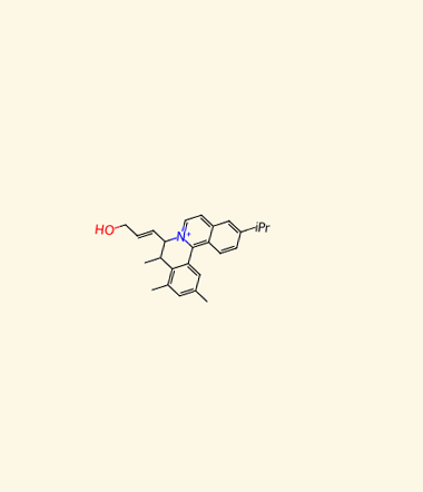 Cc1cc(C)c2c(c1)-c1c3ccc(C(C)C)cc3cc[n+]1C(/C=C/CO)C2C